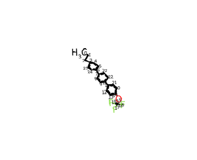 CCCc1ccc(-c2ccc(-c3ccc(OC(F)(F)F)cc3)cc2)cc1